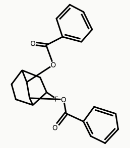 O=C(OC1C2CCC(C(F)C2)C1OC(=O)c1ccccc1)c1ccccc1